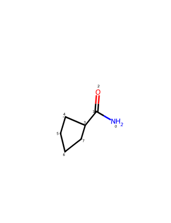 NC(=O)C1[CH]CCC1